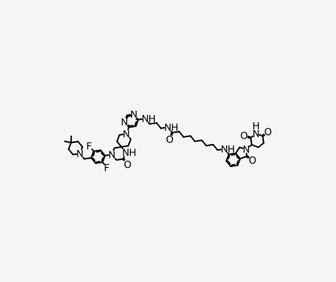 CC1(C)CCN(Cc2cc(F)c(N3CC(=O)NC4(CCN(c5cc(NCCCNC(=O)CCCCCCCCNc6cccc7c6CN(C6CCC(=O)NC6=O)C7=O)ncn5)CC4)C3)cc2F)CC1